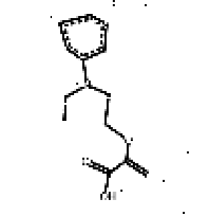 C=C(OCCN(CC)c1ccccc1)C(=O)O